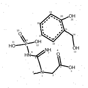 CN(CC(=O)O)C(=N)NP(=O)(O)O.OCc1ccccc1O